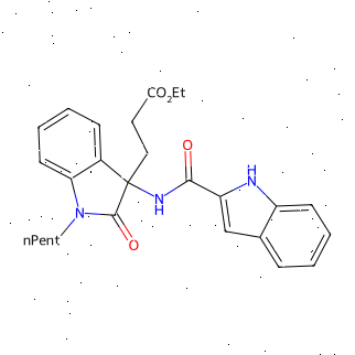 CCCCCN1C(=O)C(CCC(=O)OCC)(NC(=O)c2cc3ccccc3[nH]2)c2ccccc21